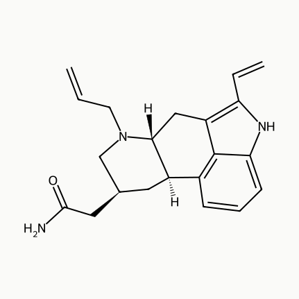 C=CCN1C[C@H](CC(N)=O)C[C@@H]2c3cccc4[nH]c(C=C)c(c34)C[C@H]21